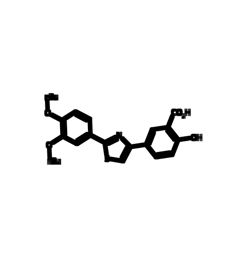 CCCCOc1ccc(-c2nc(-c3ccc(O)c(C(=O)O)c3)cs2)cc1OCCCC